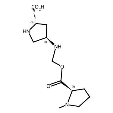 CN1CCC[C@@H]1C(=O)OCN[C@H]1CN[C@H](C(=O)O)C1